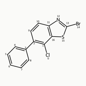 Clc1c(-c2ccccc2)ccc2nc(Br)sc12